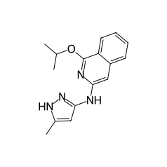 Cc1cc(Nc2cc3ccccc3c(OC(C)C)n2)n[nH]1